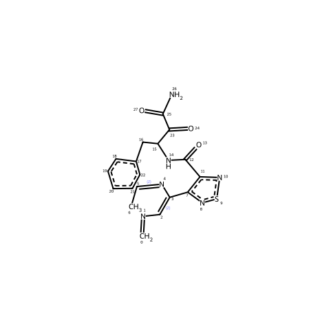 C=N/C=C(\N=C/C)c1nsnc1C(=O)NC(Cc1ccccc1)C(=O)C(N)=O